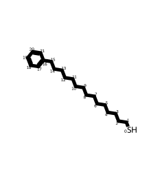 SCCCCCCCCCCCCCCCc1ccccc1